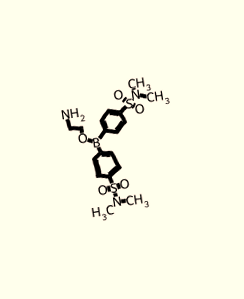 CN(C)S(=O)(=O)c1ccc(B(OCCN)c2ccc(S(=O)(=O)N(C)C)cc2)cc1